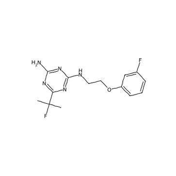 CC(C)(F)c1nc(N)nc(NCCOc2cccc(F)c2)n1